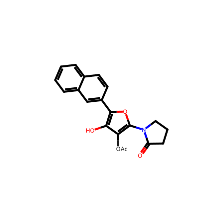 CC(=O)Oc1c(N2CCCC2=O)oc(-c2ccc3ccccc3c2)c1O